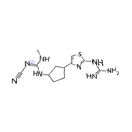 CN/C(=N/C#N)NC1CCC(c2csc(NC(=N)N)n2)C1